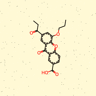 CCCOc1cc(C(=O)CC)cc2c(=O)c3cc(C(=O)O)ccc3oc12